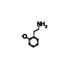 NCCc1ccccc1[O]